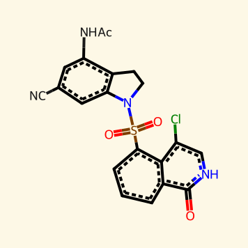 CC(=O)Nc1cc(C#N)cc2c1CCN2S(=O)(=O)c1cccc2c(=O)[nH]cc(Cl)c12